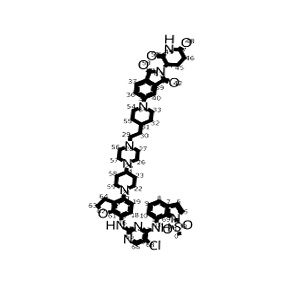 CS(=O)(=O)n1ccc2cccc(Nc3nc(Nc4ccc(N5CCC(N6CCN(CCC7CCN(c8ccc9c(c8)C(=O)N(C8CCC(=O)NC8=O)C9=O)CC7)CC6)CC5)c5c4OCC5)ncc3Cl)c21